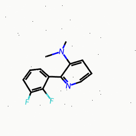 CN(C)c1cccnc1-c1cccc(F)c1F